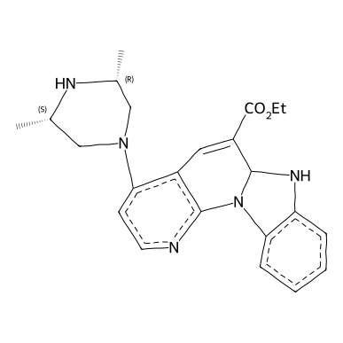 CCOC(=O)C1=Cc2c(N3C[C@@H](C)N[C@@H](C)C3)ccnc2N2c3ccccc3NC12